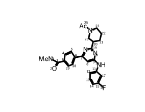 CNC(=O)c1ccc(-c2cc(Nc3cccc(F)c3)nc(C3CCCN(C(C)=O)C3)n2)cc1